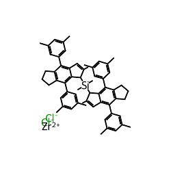 CC1=Cc2c(-c3cc(C)cc(C)c3)c3c(c(-c4cc(C)cc(C)c4)c2C1[Si](C)(C)C1C(C)=Cc2c(-c4cc(C)cc(C)c4)c4c(c(-c5cc(C)cc(C)c5)c21)CCC4)CCC3.[Cl-].[Cl-].[Zr+2]